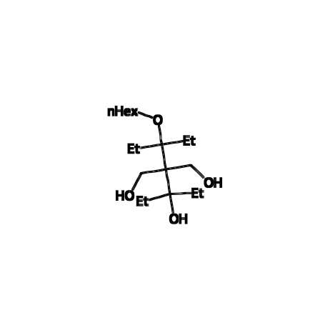 CCCCCCOC(CC)(CC)C(CO)(CO)C(O)(CC)CC